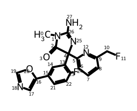 CN1C(=O)C(c2cccc(CF)n2)(c2cc(-c3cnco3)ccc2F)N=C1N